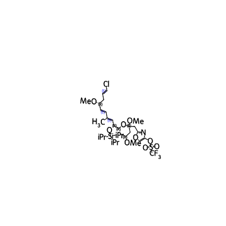 CO[C@@H]1C[C@H]([C@@H](/C=C(C)/C=C/[C@@H](C/C=C/Cl)OC)O[Si](C(C)C)(C(C)C)C(C)C)O[C@@](Cc2nc(OS(=O)(=O)C(F)(F)F)co2)(OC)C1